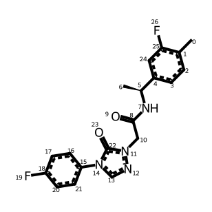 Cc1ccc([C@H](C)NC(=O)Cn2ncn(-c3ccc(F)cc3)c2=O)cc1F